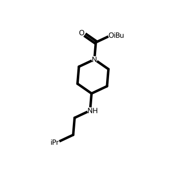 CC(C)CCNC1CCN(C(=O)OCC(C)C)CC1